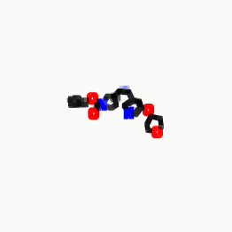 CC(C)(C)OC(=O)N1CC[C@H](/C=C\c2cncc(OC3CCOCC3)c2)C1